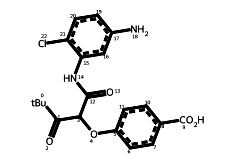 CC(C)(C)C(=O)C(Oc1ccc(C(=O)O)cc1)C(=O)Nc1cc(N)ccc1Cl